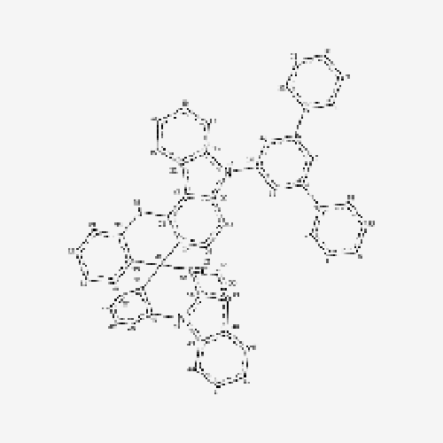 c1ccc(-c2cc(-c3ccccc3)cc(-n3c4ccccc4c4c5c(ccc43)C3(c4ccccc4S5)c4ccccc4-n4c5ccccc5c5cccc3c54)c2)cc1